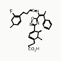 C/C(=C(\N=C=CCCC1=C(F)CC(C)C=C1)c1nc(C2=CC=C(CCC(=O)O)C(C)C2C)no1)c1ccccc1